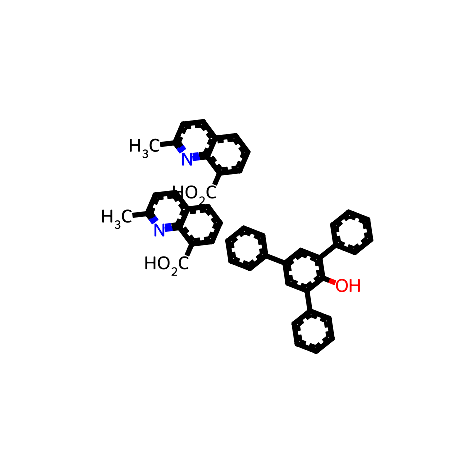 Cc1ccc2cccc(C(=O)O)c2n1.Cc1ccc2cccc(C(=O)O)c2n1.Oc1c(-c2ccccc2)cc(-c2ccccc2)cc1-c1ccccc1